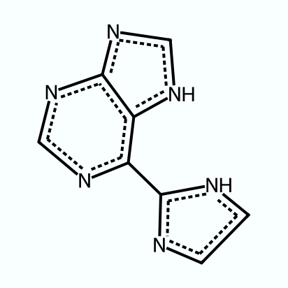 c1c[nH]c(-c2ncnc3nc[nH]c23)n1